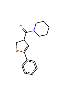 O=C(C1C=C(c2ccccc2)SC1)N1CCCCC1